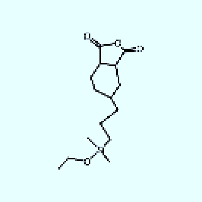 CCO[Si](C)(C)CCCC1CCC2C(=O)OC(=O)C2C1